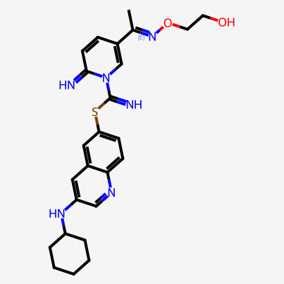 C/C(=N\OCCO)c1ccc(=N)n(C(=N)Sc2ccc3ncc(NC4CCCCC4)cc3c2)c1